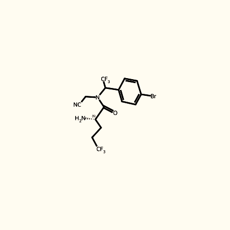 N#CCN(C(=O)[C@@H](N)CCC(F)(F)F)C(c1ccc(Br)cc1)C(F)(F)F